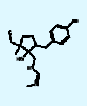 C/N=C\NCC1(O)C(Cc2ccc(O)cc2)CCC1(C)CCl